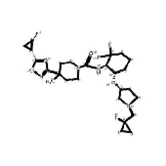 CC1(c2noc([C@@H]3C[C@@H]3F)n2)CCN(C(=O)N[C@@H]2[C@@H](O[C@H]3CCN(CC4(F)CC4)C3)CCCC2(F)F)CC1